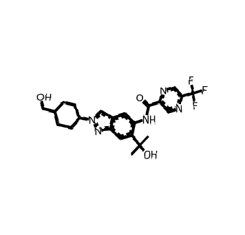 CC(C)(O)c1cc2nn(C3CCC(CO)CC3)cc2cc1NC(=O)c1cnc(C(F)(F)F)cn1